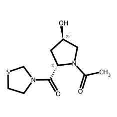 CC(=O)N1C[C@H](O)C[C@H]1C(=O)N1CCSC1